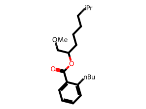 CCCCc1ccccc1C(=O)OC(CCCCC(C)C)COC